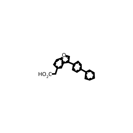 O=C(O)Cc1ccc2occ(-c3ccc(-c4ccccc4)cc3)c2c1